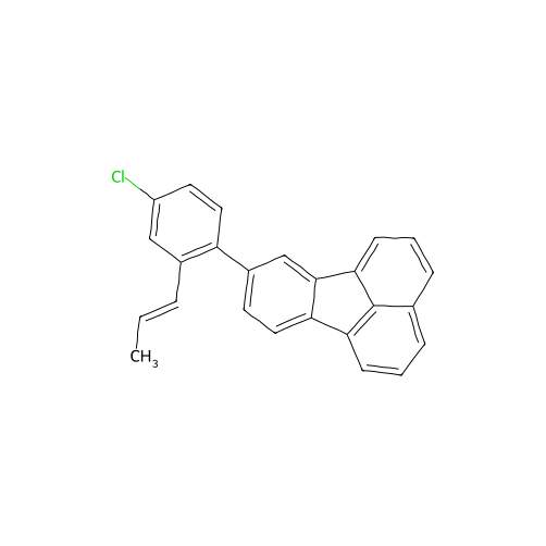 CC=Cc1cc(Cl)ccc1-c1ccc2c(c1)-c1cccc3cccc-2c13